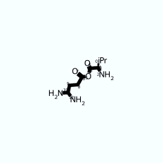 CC(C)[C@@H](N)C(=O)OC(=O)CCC(N)N